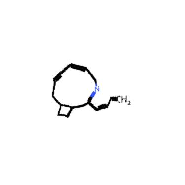 C=C/C=C\C1=N\C/C=C\C=C/CC2CCC12